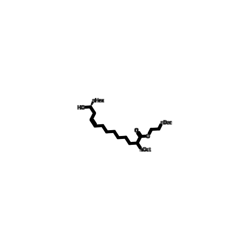 CCCCCCCCCCCCOC(=O)C(CCCCCC/C=C\C[C@H](O)CCCCCC)CCCCCCCC